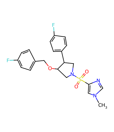 Cn1cnc(S(=O)(=O)N2CC(OCc3ccc(F)cc3)C(c3ccc(F)cc3)C2)c1